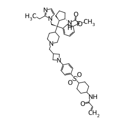 C=CC(=O)NC1CCC(S(=O)(=O)c2ccc(N3CC(CN4CCC([C@@](Cn5ccnc5CC)(c5cccc(F)c5)[C@H]5CCC[C@@H]5NC(=O)OC)CC4)C3)cc2)CC1